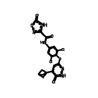 O=C(Nc1cc(Cl)c(Oc2cc(C34CC(C3)C4)c(=O)[nH]n2)c(Cl)c1)c1noc(=O)[nH]1